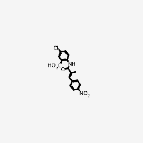 C/C(=C\c1ccc([N+](=O)[O-])cc1)C(=O)Nc1ccc(Cl)cc1C(=O)O